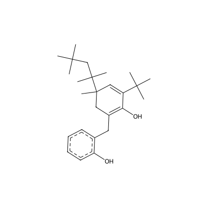 CC(C)(C)CC(C)(C)C1(C)C=C(C(C)(C)C)C(O)=C(Cc2ccccc2O)C1